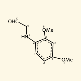 COc1ccc(NCC=O)c(OC)c1